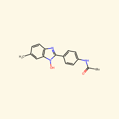 Cc1ccc2nc(-c3ccc(NC(=O)C(C)(C)C)cc3)n(O)c2c1